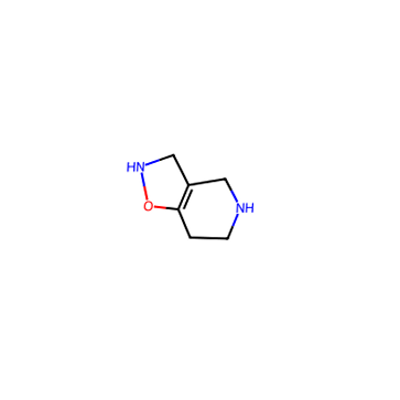 C1CC2=C(CN1)CNO2